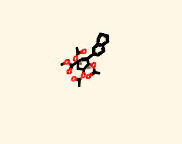 COC(=O)[C@]1(OC(C)=O)C=C(c2ccc3ccccc3c2)[C@@H](OC(C)=O)C(OC(C)=O)C1